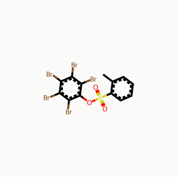 Cc1ccccc1S(=O)(=O)Oc1c(Br)c(Br)c(Br)c(Br)c1Br